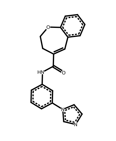 O=C(Nc1cccc(-n2ccnc2)c1)C1=Cc2ccccc2OCC1